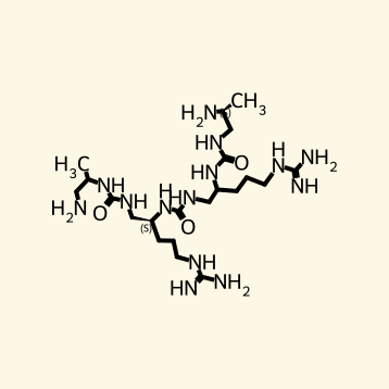 CC(CN)NC(=O)NC[C@H](CCCNC(=N)N)NC(=O)NCC(CCCNC(=N)N)NC(=O)NC[C@H](C)N